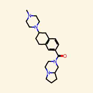 CN1CCN(C2CCc3cc(C(=O)N4CCN5CCCC5C4)ccc3C2)CC1